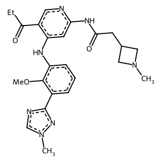 CCC(=O)c1cnc(NC(=O)CC2CN(C)C2)cc1Nc1cccc(-c2ncn(C)n2)c1OC